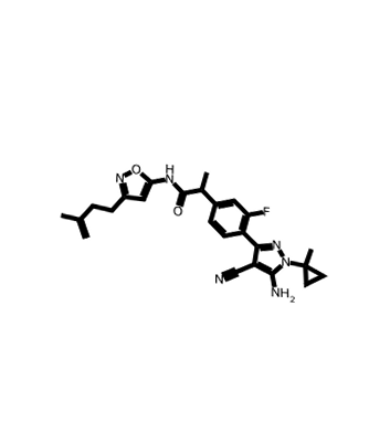 C=C(C)CCc1cc(NC(=O)C(C)c2ccc(-c3nn(C4(C)CC4)c(N)c3C#N)c(F)c2)on1